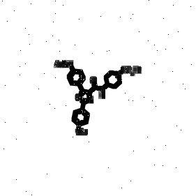 CCOC(=O)N1CCC(NC(=O)c2nc(-c3ccc(C(C)(C)C)cc3)oc2-c2ccc(NC(C)=O)cc2)CC1